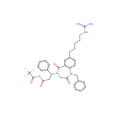 N=C(N)NCCCCCc1ccc2c(c1)C(=O)N(C(CC(=O)OC(=O)C(F)(F)F)c1ccccc1)CC(=O)N2Cc1ccccc1